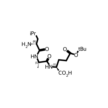 CC(C)C[C@@H](N)C(=O)N[C@@H](C)C(=O)N[C@@H](CCC(=O)OC(C)(C)C)C(=O)O